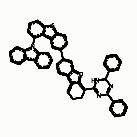 C1=c2c(oc3cc(-c4ccc5sc6cccc(-n7c8ccccc8c8ccccc87)c6c5c4)ccc23)=C(C2=NC(c3ccccc3)=NC(c3ccccc3)N2)CC1